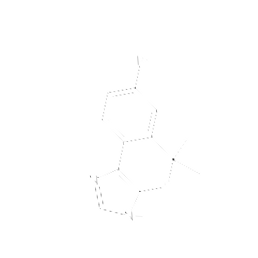 CC1(C)Sc2[nH]cnc2-c2ccc(Br)cc21